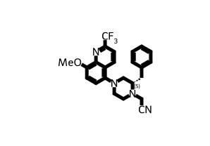 COc1ccc(N2CCN(CC#N)[C@@H](Cc3ccccc3)C2)c2ccc(C(F)(F)F)nc12